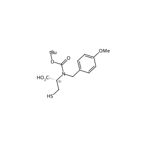 COc1ccc(CN(C(=O)OC(C)(C)C)[C@H](CS)C(=O)O)cc1